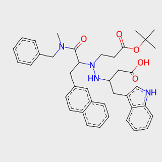 CN(Cc1ccccc1)C(=O)C(Cc1ccc2ccccc2c1)N(CCC(=O)OC(C)(C)C)NC(CC(=O)O)Cc1c[nH]c2ccccc12